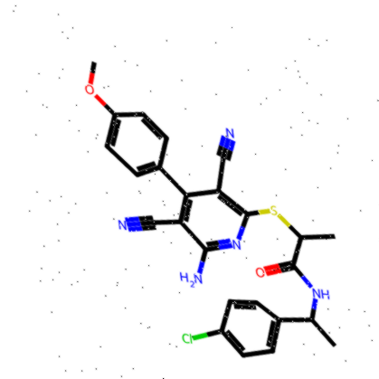 COc1ccc(-c2c(C#N)c(N)nc(SC(C)C(=O)NC(C)c3ccc(Cl)cc3)c2C#N)cc1